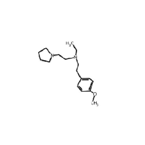 CCN(CCc1ccc(OC)cc1)CCN1CCCC1